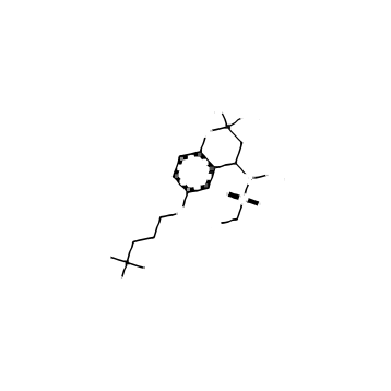 CCS(=O)(=O)N(C)C1CC(C)(C)Oc2ccc(OCCCC(F)(F)F)cc21